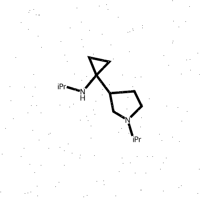 CC(C)NC1(C2CCN(C(C)C)C2)CC1